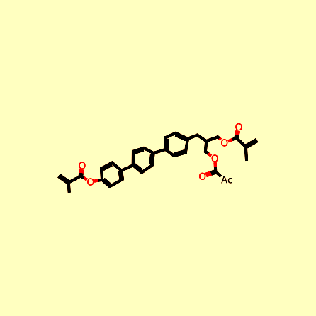 C=C(C)C(=O)OCC(COC(=O)C(C)=O)Cc1ccc(-c2ccc(-c3ccc(OC(=O)C(=C)C)cc3)cc2)cc1